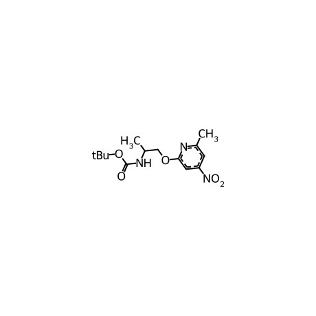 Cc1cc([N+](=O)[O-])cc(OCC(C)NC(=O)OC(C)(C)C)n1